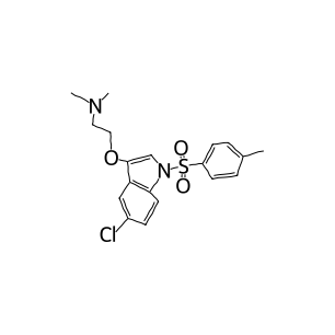 Cc1ccc(S(=O)(=O)n2cc(OCCN(C)C)c3cc(Cl)ccc32)cc1